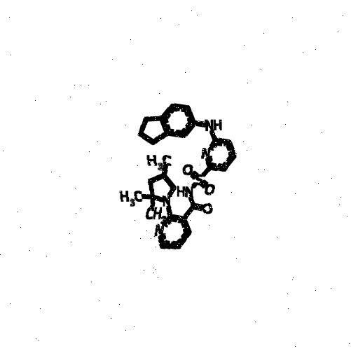 CC1CN(c2ncccc2C(=O)NS(=O)(=O)c2cccc(Nc3ccc4c(c3)CCC4)n2)C(C)(C)C1